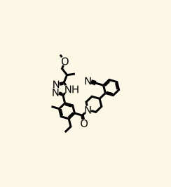 CCc1cc(C)c(-c2nnc(C(C)COC)[nH]2)cc1C(=O)N1CCC(c2ccccc2C#N)CC1